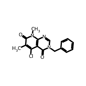 Cc1c(Cl)c2c(=O)n(Cc3ccccc3)cnc2n(C)c1=O